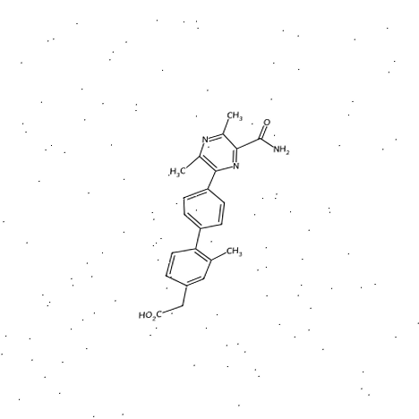 Cc1cc(CC(=O)O)ccc1-c1ccc(-c2nc(C(N)=O)c(C)nc2C)cc1